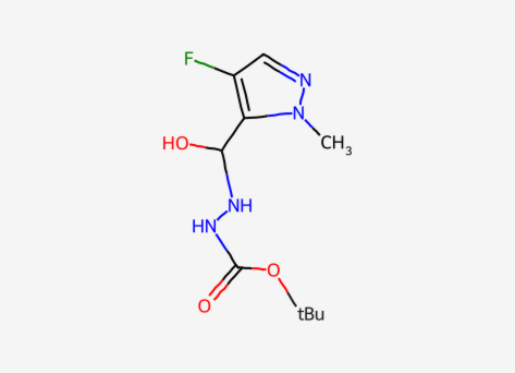 Cn1ncc(F)c1C(O)NNC(=O)OC(C)(C)C